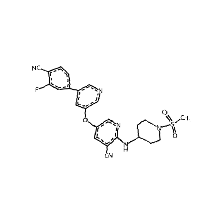 CS(=O)(=O)N1CCC(Nc2ncc(Oc3cncc(-c4ccc(C#N)c(F)c4)c3)cc2C#N)CC1